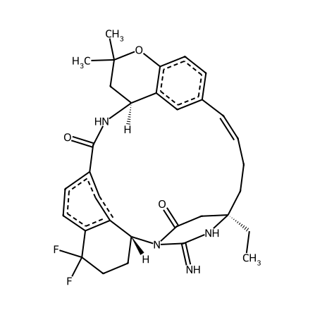 CC[C@]12CC/C=C\c3ccc4c(c3)[C@H](CC(C)(C)O4)NC(=O)c3ccc4c(c3)[C@@H](CCC4(F)F)N(C(=N)N1)C(=O)C2